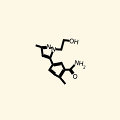 Cc1cc(-c2ccc(C)c(C(N)=O)c2)n(CCO)n1